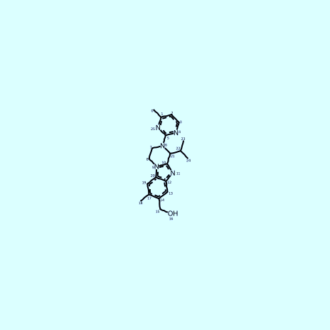 Cc1ccnc(N2CCn3c(nc4cc(CO)c(C)cc43)C2C(C)C)n1